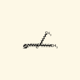 CCCCCCCCCCCC(CCCCCCCCC)COC(=O)CCCCCCCN1CCSCC1